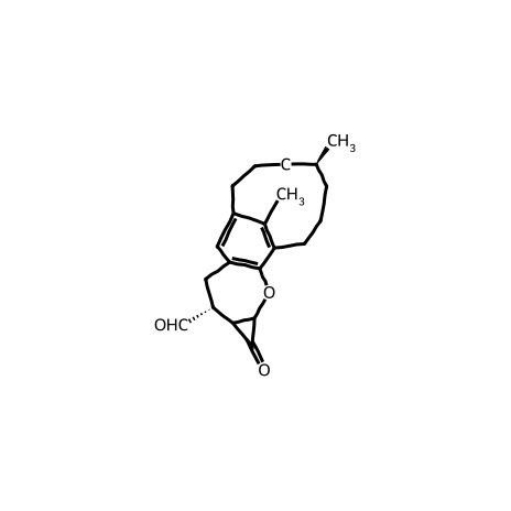 Cc1c2cc3c(c1CCC[C@H](C)CCC2)OC1C(=O)C1[C@H](C=O)C3